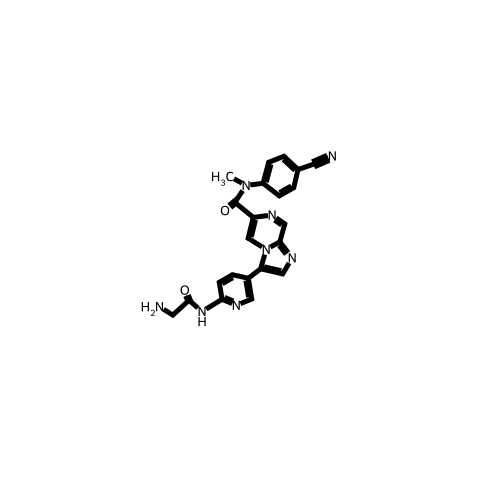 CN(C(=O)c1cn2c(-c3ccc(NC(=O)CN)nc3)cnc2cn1)c1ccc(C#N)cc1